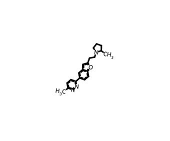 Cc1ccc(-c2ccc3oc(CCN4CCCC4C)cc3c2)nn1